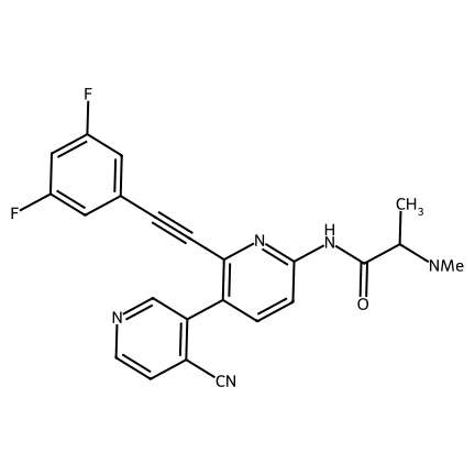 CNC(C)C(=O)Nc1ccc(-c2cnccc2C#N)c(C#Cc2cc(F)cc(F)c2)n1